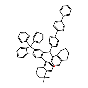 CC1(C)CCCc2c(-c3cc4c(cc3N(c3ccc(-c5ccc(-c6ccccc6)cc5)cc3)c3cccc5c3CCCC5)C(c3ccccc3)(c3ccccc3)c3ccccc3-4)cccc21